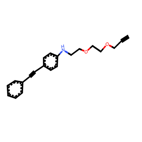 C#CCOCCOCCNc1ccc(C#Cc2ccccc2)cc1